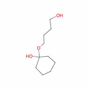 OCCCCOC1(O)CCCCC1